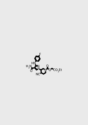 CCOC(=O)COC(=O)N1CC[C@@H](C#N)C(n2cc(C(N)=O)c(Nc3ccc(F)cc3)n2)C1